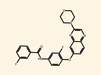 O=C(Nc1ccc(Oc2ccc3ncc(N4CCOCC4)nc3c2)c(F)c1)c1cccc(F)c1